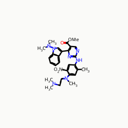 COC(=O)c1cnc(Nc2cc([N+](=O)[O-])c(N(C)CCN(C)C)cc2C)nc1-c1cn(N(C)C)c2ccccc12